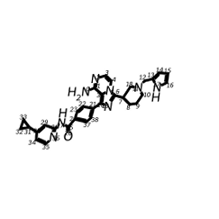 Nc1nccn2c(C3CCCN(Cc4ccc[nH]4)C3)nc(-c3ccc(C(=O)Nc4cc(C5CC5)ccn4)cc3)c12